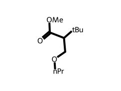 CCCOCC(C(=O)OC)C(C)(C)C